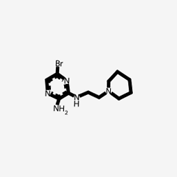 Nc1ncc(Br)nc1NCCN1CCCCC1